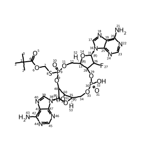 CC(C)(C)C(=O)OCSP1(=O)OC[C@H]2O[C@@H](n3cnc4c(N)ncnc43)C(F)C2OP(=O)(O)OC[C@H]2O[C@@H](n3cnc4c(N)ncnc43)C(O1)C2O